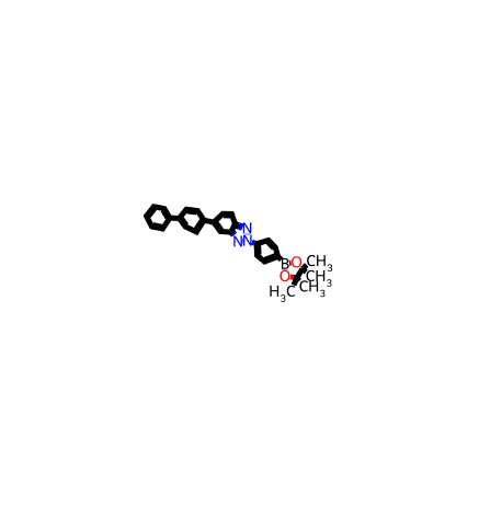 CC1(C)OB(c2ccc(-n3nc4ccc(-c5ccc(-c6ccccc6)cc5)cc4n3)cc2)OC1(C)C